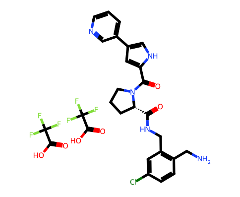 NCc1ccc(Cl)cc1CNC(=O)[C@@H]1CCCN1C(=O)c1cc(-c2cccnc2)c[nH]1.O=C(O)C(F)(F)F.O=C(O)C(F)(F)F